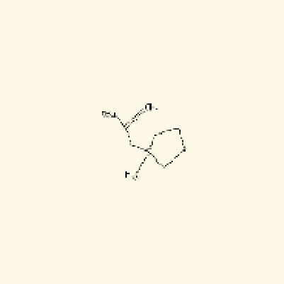 C=C(CS1(C)CCCC1)C(C)(C)C